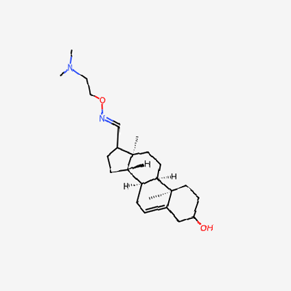 CN(C)CCON=CC1CC[C@H]2[C@@H]3CC=C4CC(O)CC[C@]4(C)[C@@H]3CC[C@]12C